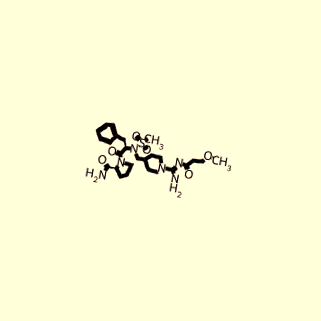 COCCC(=O)N=C(N)N1CCC(CN([C@H](Cc2ccccc2)C(=O)N2CCC[C@H]2C(N)=O)S(C)(=O)=O)CC1